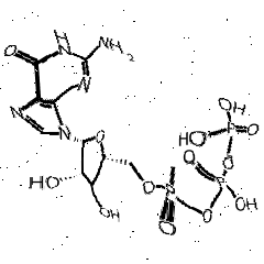 CP(=O)(OC[C@H]1O[C@@H](n2cnc3c(=O)[nH]c(N)nc32)[C@@H](O)C1O)OP(=O)(O)OP(=O)(O)O